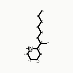 CCCCCCC(C)C1CCCCN1